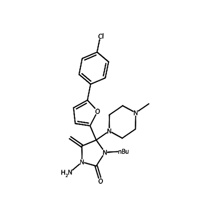 C=C1N(N)C(=O)N(CCCC)C1(c1ccc(-c2ccc(Cl)cc2)o1)N1CCN(C)CC1